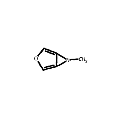 CN1c2cocc21